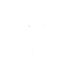 CN(CCC(C)(C)C)Cc1ccc(Cl)cc1